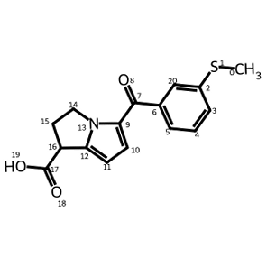 CSc1cccc(C(=O)c2ccc3n2CCC3C(=O)O)c1